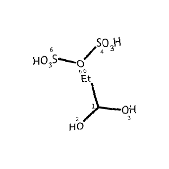 CCC(O)O.O=S(=O)(O)OS(=O)(=O)O